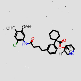 COc1cc(NC(=O)CCCc2cccc(C3(C(=O)O[C@H]4CN5CCC4CC5)CCCCC3)c2)c(Cl)cc1C=O